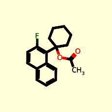 CC(=O)OC1(c2c(F)ccc3ccccc23)CCCCC1